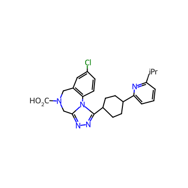 CC(C)c1cccc(C2CCC(c3nnc4n3-c3ccc(Cl)cc3CN(C(=O)O)C4)CC2)n1